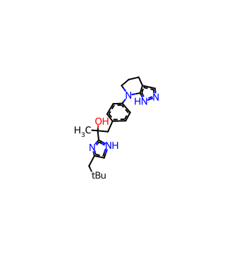 CC(C)(C)Cc1c[nH]c(C(C)(O)Cc2ccc(N3CCCc4cn[nH]c43)cc2)n1